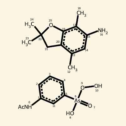 CC(=O)Nc1cccc([As](=O)(O)OO)c1.Cc1cc(N)c(C)c2c1CC(C)(C)O2